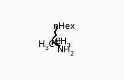 CCCCCCCCCC[N+](C)(C)CCN